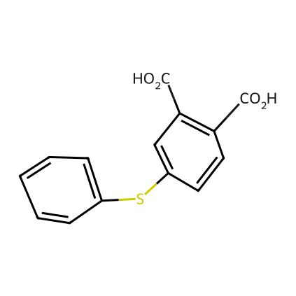 O=C(O)c1ccc(Sc2ccccc2)cc1C(=O)O